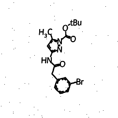 Cc1cc(NC(=O)Cc2cccc(Br)c2)nn1C(=O)OC(C)(C)C